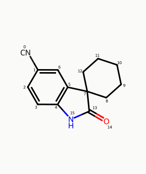 [C-]#[N+]c1ccc2c(c1)C1(CCCCC1)C(=O)N2